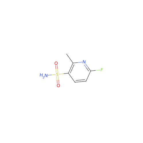 Cc1nc(F)ccc1S(N)(=O)=O